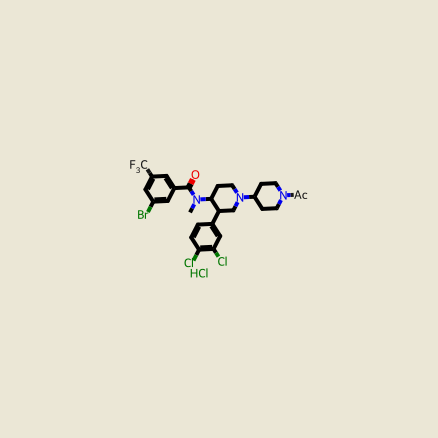 CC(=O)N1CCC(N2CCC(N(C)C(=O)c3cc(Br)cc(C(F)(F)F)c3)C(c3ccc(Cl)c(Cl)c3)C2)CC1.Cl